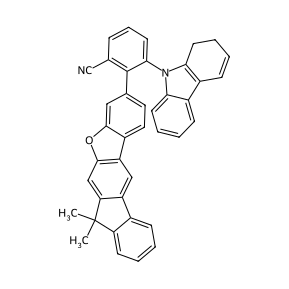 CC1(C)c2ccccc2-c2cc3c(cc21)oc1cc(-c2c(C#N)cccc2-n2c4c(c5ccccc52)C=CCC4)ccc13